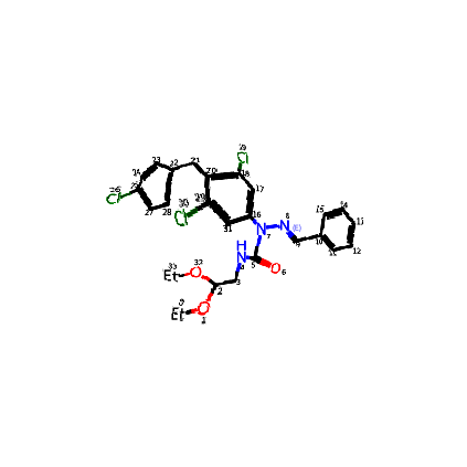 CCOC(CNC(=O)N(/N=C/c1ccccc1)c1cc(Cl)c(Cc2ccc(Cl)cc2)c(Cl)c1)OCC